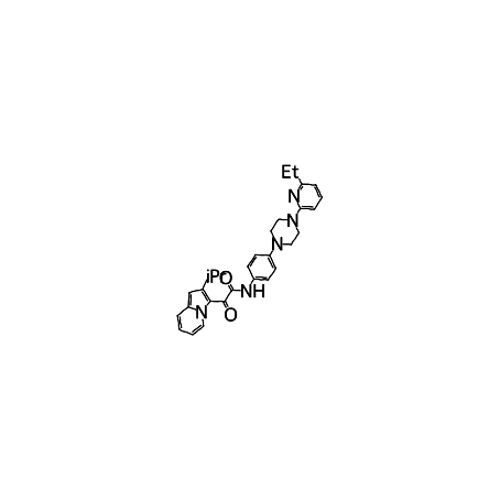 CCc1cccc(N2CCN(c3ccc(NC(=O)C(=O)c4c(C(C)C)cc5ccccn45)cc3)CC2)n1